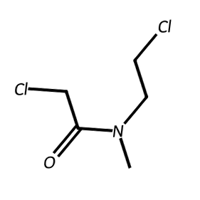 CN(CCCl)C(=O)CCl